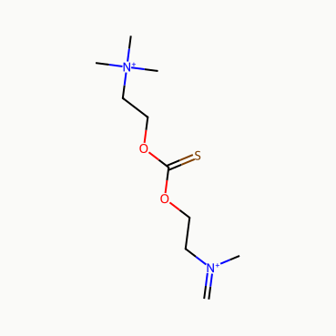 C=[N+](C)CCOC(=S)OCC[N+](C)(C)C